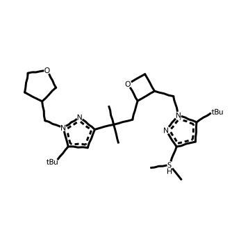 C[SH](C)c1cc(C(C)(C)C)n(CC2COC2CC(C)(C)c2cc(C(C)(C)C)n(CC3CCOC3)n2)n1